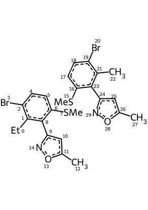 CCc1c(Br)ccc(SC)c1-c1cc(C)on1.CSc1ccc(Br)c(C)c1-c1cc(C)on1